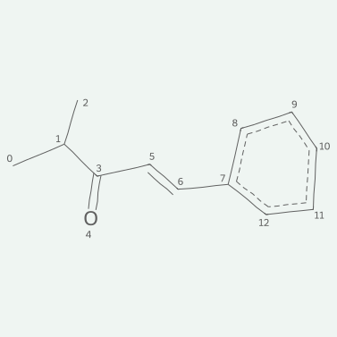 CC(C)C(=O)/C=C/c1ccccc1